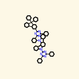 c1ccc(-c2nc(-c3ccc4c(c3)-c3ccccc3C4(c3ccccc3)c3ccccc3)nc(-c3ccccc3-n3c4ccccc4c4ccc5c(c6ccccc6n5-c5nc(-c6ccccc6)nc(-c6ccccc6)n5)c43)n2)cc1